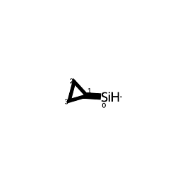 [SiH]=C1CC1